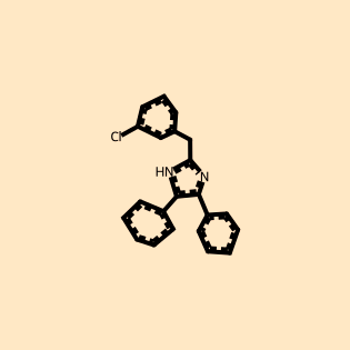 Clc1cccc(Cc2nc(-c3ccccc3)c(-c3ccccc3)[nH]2)c1